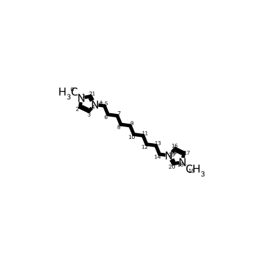 Cn1cc[n+](CCCCCCCCCC[n+]2ccn(C)c2)c1